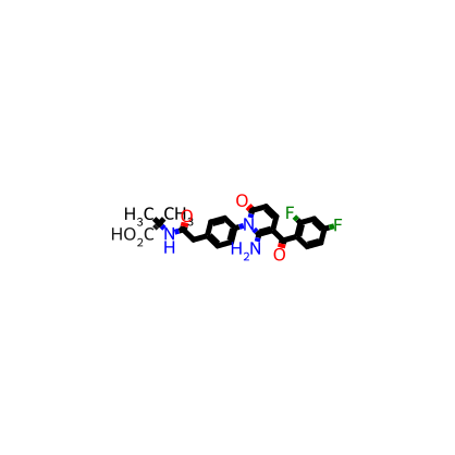 CC(C)(NC(=O)Cc1ccc(-n2c(N)c(C(=O)c3ccc(F)cc3F)ccc2=O)cc1)C(=O)O